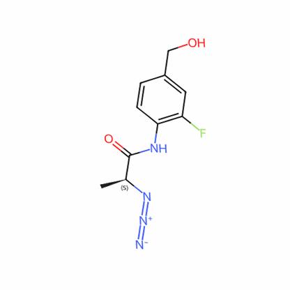 C[C@H](N=[N+]=[N-])C(=O)Nc1ccc(CO)cc1F